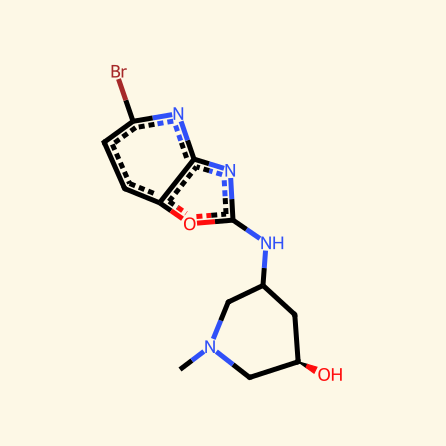 CN1CC(Nc2nc3nc(Br)ccc3o2)C[C@@H](O)C1